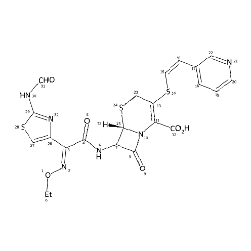 CCON=C(C(=O)NC1C(=O)N2C(C(=O)O)=C(S/C=C\c3cccnc3)CS[C@@H]12)c1csc(NC=O)n1